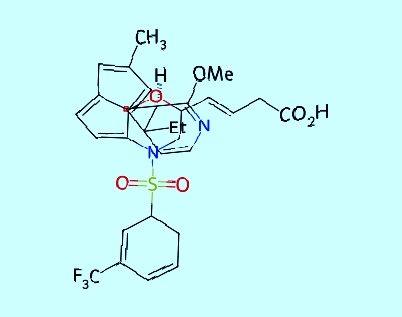 CCC12C=CN=C(OC)[C@@H]1C2C1=C\C=C2/C(=C/C(C)=C\1)OC(/C=C/CC(=O)O)CN2S(=O)(=O)C1C=C(C(F)(F)F)C=CC1